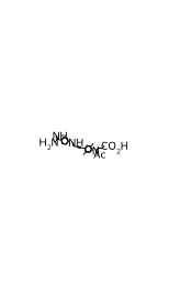 CC(=O)N(CCC(=O)O)c1cc(C)c(C#CCNc2ccc(C(=N)N)cc2)cc1C